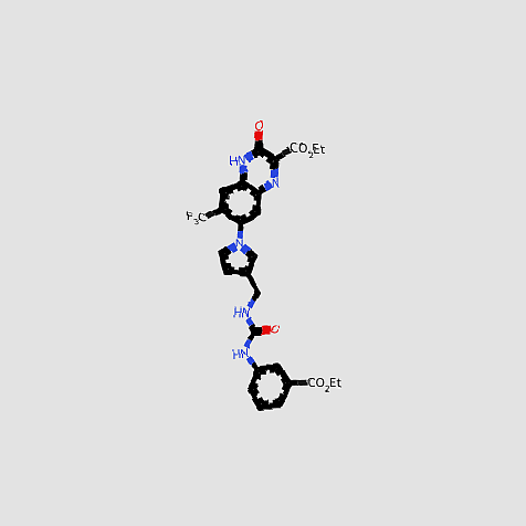 CCOC(=O)c1cccc(NC(=O)NCc2ccn(-c3cc4nc(C(=O)OCC)c(=O)[nH]c4cc3C(F)(F)F)c2)c1